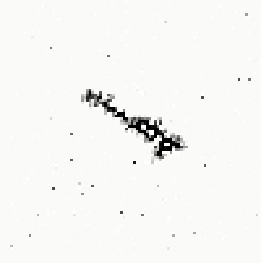 O=C(CCCCCNC(=O)c1ccc2c(c1)CC/C(=C\c1cc(C(F)(F)F)cc(C(F)(F)F)c1)C2=O)NOPI